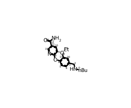 CCCCNCc1ccc(Oc2ccc(C(N)=O)cn2)c(OCC)c1